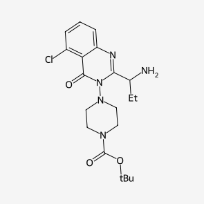 CCC(N)c1nc2cccc(Cl)c2c(=O)n1N1CCN(C(=O)OC(C)(C)C)CC1